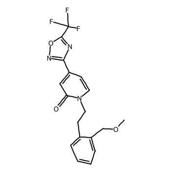 COCc1ccccc1CCn1ccc(-c2noc(C(F)(F)F)n2)cc1=O